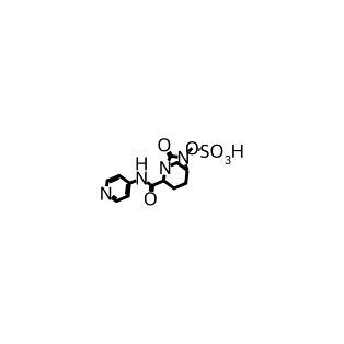 O=C(Nc1ccncc1)C1CCC2CN1C(=O)N2OS(=O)(=O)O